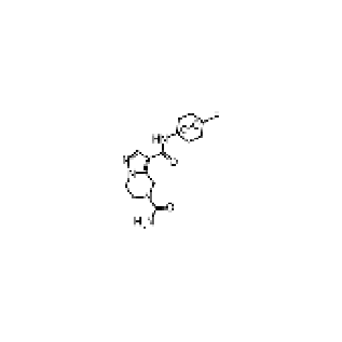 NC(=O)N1CCn2ncc(C(=O)NC34CCC(F)(CC3)CC4)c2C1